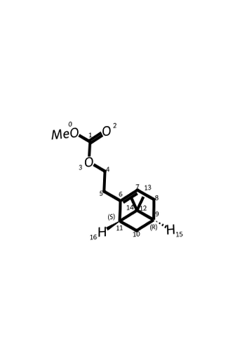 COC(=O)OCCC1=CC[C@H]2C[C@H]1C2(C)C